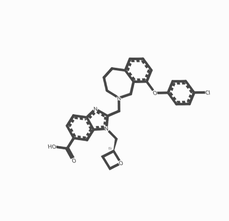 O=C(O)c1ccc2nc(CN3CCCc4cccc(Oc5ccc(Cl)cc5)c4C3)n(C[C@@H]3CCO3)c2c1